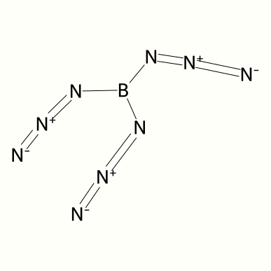 [N-]=[N+]=NB(N=[N+]=[N-])N=[N+]=[N-]